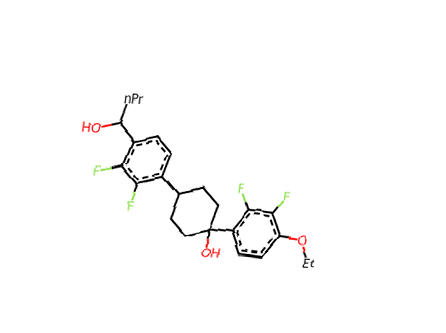 CCCC(O)c1ccc(C2CCC(O)(c3ccc(OCC)c(F)c3F)CC2)c(F)c1F